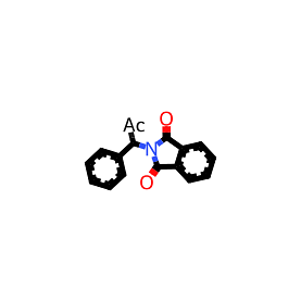 CC(=O)C(c1ccccc1)N1C(=O)c2ccccc2C1=O